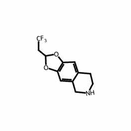 FC(F)(F)CC1Oc2cc3c(cc2O1)CNCC3